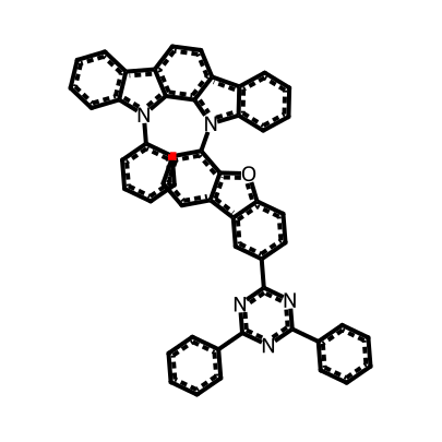 c1ccc(-c2nc(-c3ccccc3)nc(-c3ccc4oc5c(-n6c7ccccc7c7ccc8c9ccccc9n(-c9ccccc9)c8c76)cccc5c4c3)n2)cc1